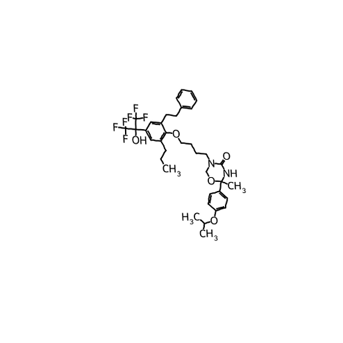 CCCc1cc(C(O)(C(F)(F)F)C(F)(F)F)cc(CCc2ccccc2)c1OCCCCN1COC(C)(c2ccc(OC(C)C)cc2)NC1=O